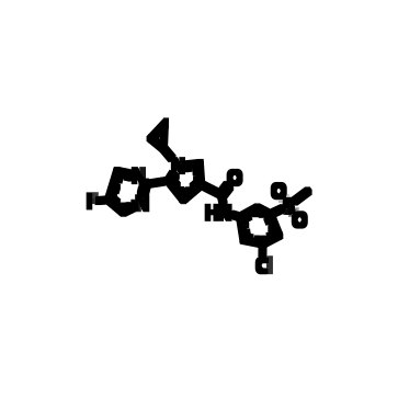 CS(=O)(=O)c1cc(Cl)cc(NC(=O)c2cc(-c3ncc(F)cn3)n(C3CC3)c2)c1